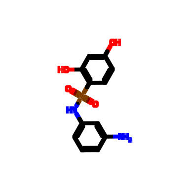 Nc1cccc(NS(=O)(=O)c2ccc(O)cc2O)c1